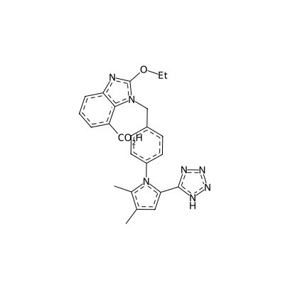 CCOc1nc2cccc(C(=O)O)c2n1Cc1ccc(-n2c(-c3nnn[nH]3)cc(C)c2C)cc1